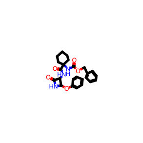 O=C(NC1(C(=O)NC2C(=O)NC2Oc2ccccc2)CCCCC1)OCc1ccccc1